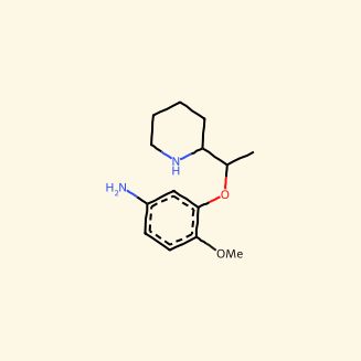 COc1ccc(N)cc1OC(C)C1CCCCN1